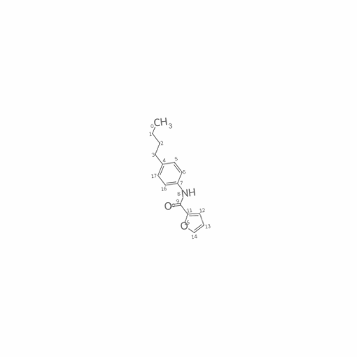 CCCCc1ccc(NC(=O)c2ccco2)cc1